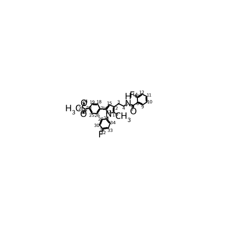 Cc1c(CCNC(=O)c2ccccc2F)cc(-c2ccc(S(C)(=O)=O)cc2)n1-c1ccc(F)cc1